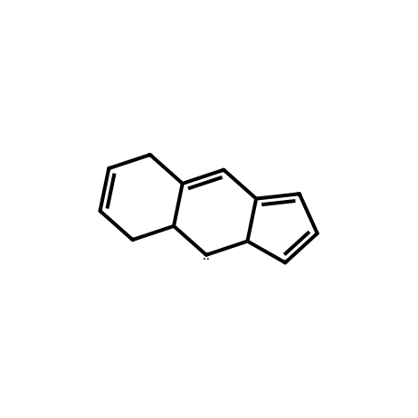 [C]1C2C=CC=C2C=C2CC=CCC12